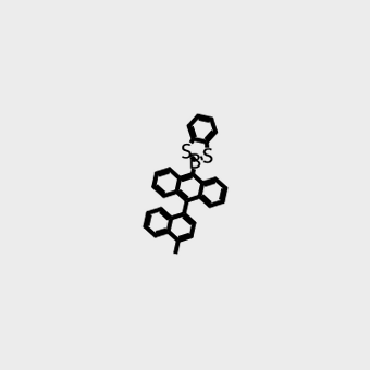 Cc1ccc(-c2c3ccccc3c(B3Sc4ccccc4S3)c3ccccc23)c2ccccc12